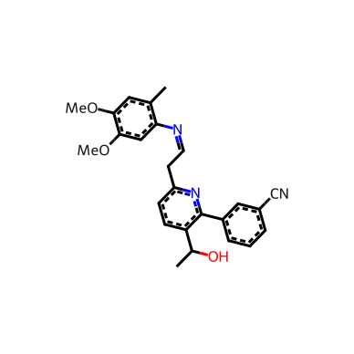 COc1cc(C)c(/N=C\Cc2ccc(C(C)O)c(-c3cccc(C#N)c3)n2)cc1OC